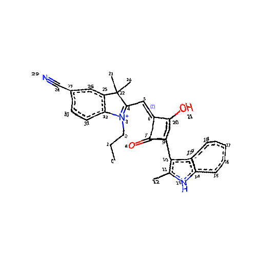 CCC[N+]1=C(/C=C2\C(=O)C(c3c(C)[nH]c4ccccc34)=C2O)C(C)(C)c2cc(C#N)ccc21